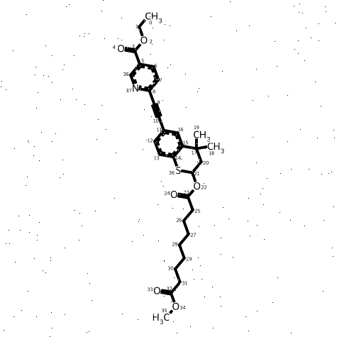 CCOC(=O)c1ccc(C#Cc2ccc3c(c2)C(C)(C)CC(OC(=O)CCCCCCCC(=O)OC)S3)nc1